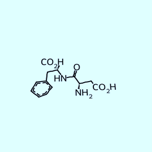 N[C@H](CC(=O)O)C(=O)N[C@@H](Cc1ccccc1)C(=O)O